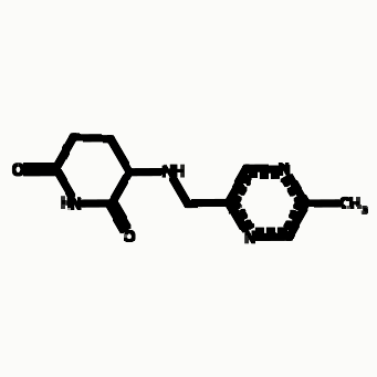 Cc1cnc(CNC2CCC(=O)NC2=O)cn1